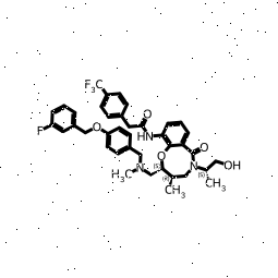 C[C@@H]1CN([C@@H](C)CO)C(=O)c2cccc(NC(=O)Cc3ccc(C(F)(F)F)cc3)c2O[C@@H]1CN(C)Cc1ccc(OCc2cccc(F)c2)cc1